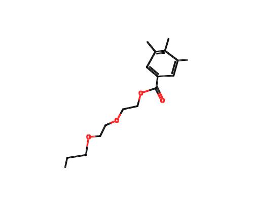 CCCOCCOCCOC(=O)c1cc(C)c(C)c(C)c1